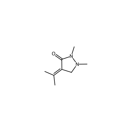 CC(C)=C1CN(C)N(C)C1=O